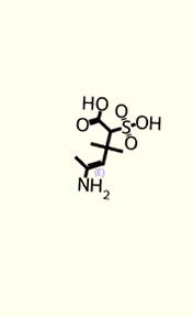 C/C(N)=C\C(C)(C)C(C(=O)O)S(=O)(=O)O